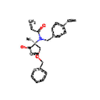 C=CC(=O)N(Cc1ccc(OC)cc1)[C@](COCc1ccccc1)(C(C)=O)C(=O)OC